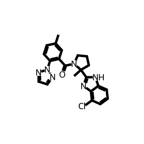 Cc1ccc(-n2nccn2)c(C(=O)N2CCCC2(C)c2nc3c(Cl)cccc3[nH]2)c1